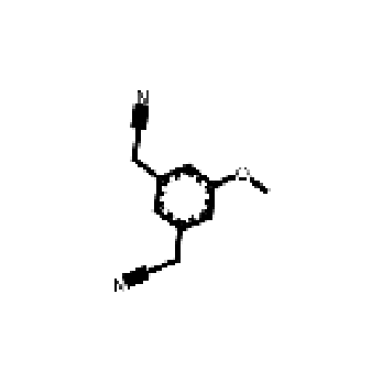 COc1cc(CC#N)cc(CC#N)c1